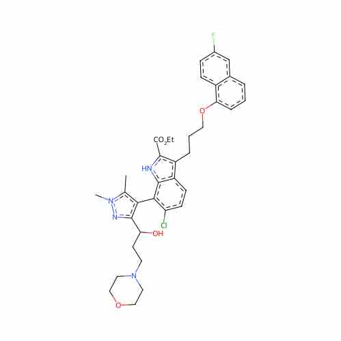 CCOC(=O)c1[nH]c2c(-c3c(C(O)CCN4CCOCC4)nn(C)c3C)c(Cl)ccc2c1CCCOc1cccc2cc(F)ccc12